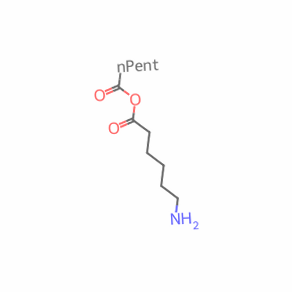 CCCCCC(=O)OC(=O)CCCCCN